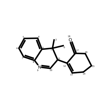 CC1(C)c2ccccc2N=CC1C1=CCCCC1=O